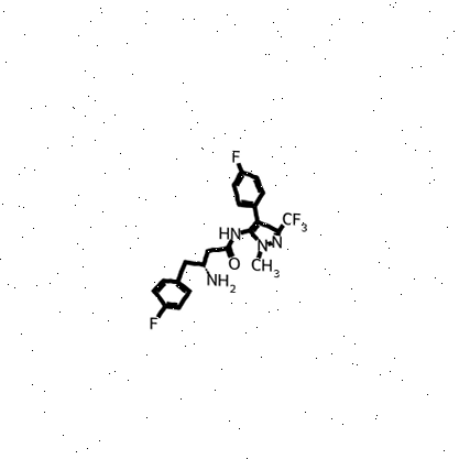 Cn1nc(C(F)(F)F)c(-c2ccc(F)cc2)c1NC(=O)C[C@H](N)Cc1ccc(F)cc1